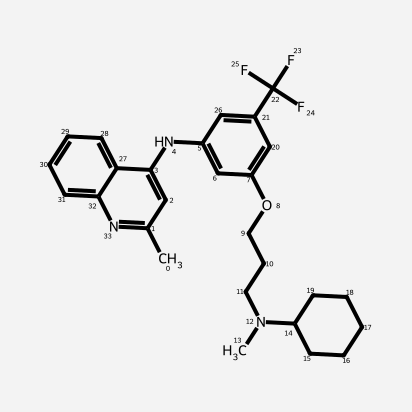 Cc1cc(Nc2cc(OCCCN(C)C3CCCCC3)cc(C(F)(F)F)c2)c2ccccc2n1